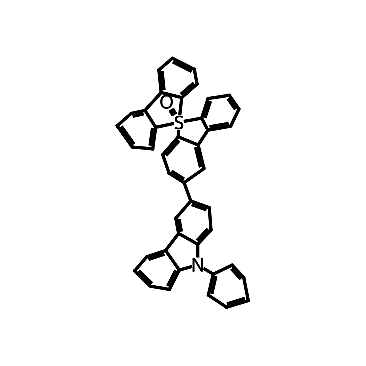 O=S12(c3ccccc3-c3ccccc31)c1ccccc1-c1cc(-c3ccc4c(c3)c3ccccc3n4-c3ccccc3)ccc12